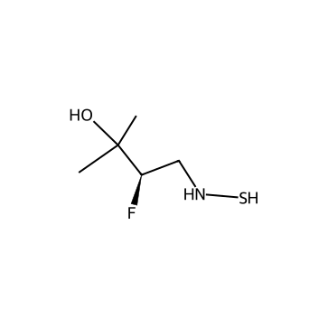 CC(C)(O)[C@H](F)CNS